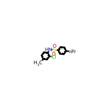 CCCc1ccc(S(=O)(=O)Nc2ccc(C)cc2Cl)cc1